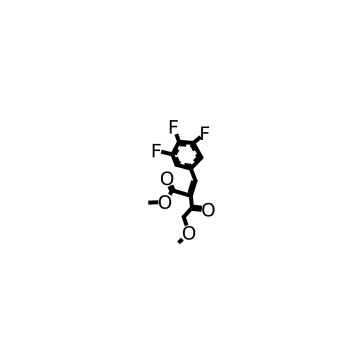 COCC(=O)C(=Cc1cc(F)c(F)c(F)c1)C(=O)OC